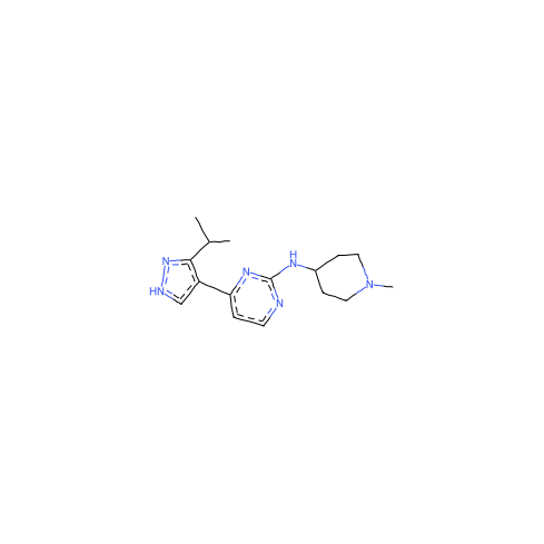 CC(C)c1n[nH]cc1-c1ccnc(NC2CCN(C)CC2)n1